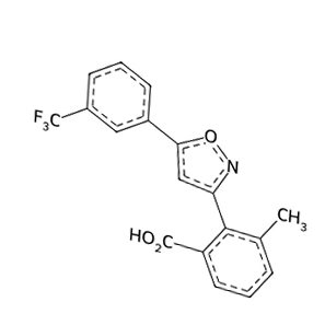 Cc1cccc(C(=O)O)c1-c1cc(-c2cccc(C(F)(F)F)c2)on1